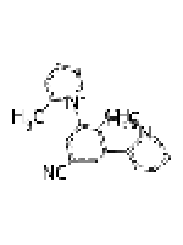 Cc1c(-c2cccc[n+]2C)cc(C#N)cc1-[n+]1ccccc1C